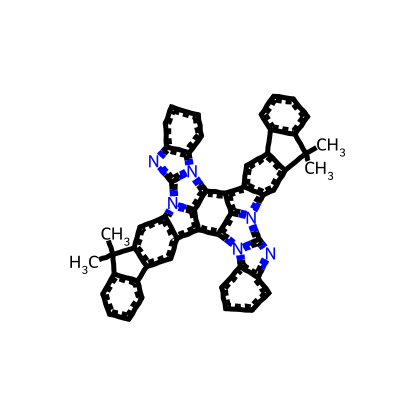 CC1(C)c2ccccc2-c2cc3c4c5c6c(c7cc8c(cc7n6c6nc7ccccc7n56)C(C)(C)c5ccccc5-8)c5c4n(c3cc21)c1nc2ccccc2n51